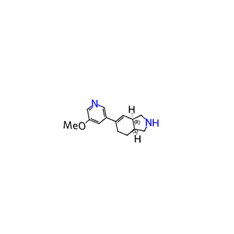 COc1cncc(C2=C[C@H]3CNC[C@H]3CC2)c1